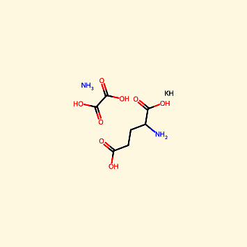 N.NC(CCC(=O)O)C(=O)O.O=C(O)C(=O)O.[KH]